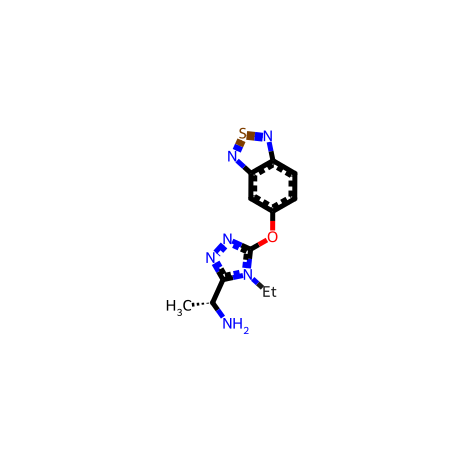 CCn1c(Oc2ccc3c(c2)N=S=N3)nnc1[C@@H](C)N